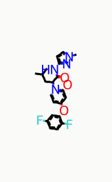 CC(C)CC(C(=O)Nc1ccn(C)n1)n1ccc(Oc2cc(F)ccc2F)cc1=O